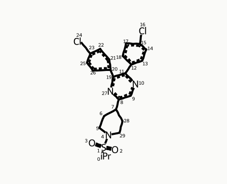 CC(C)S(=O)(=O)N1CCC(c2cnc(-c3ccc(Cl)cc3)c(-c3ccc(Cl)cc3)n2)CC1